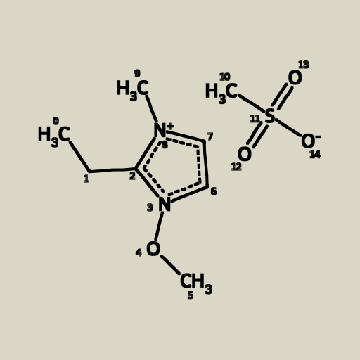 CCc1n(OC)cc[n+]1C.CS(=O)(=O)[O-]